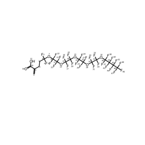 C=C(CCC(F)(F)OC(F)(F)C(F)(F)OC(F)(F)C(F)(F)OC(F)(F)C(F)(F)OC(F)(F)C(F)(F)OC(F)(F)C(F)(F)C(F)(F)C(F)(F)F)C(=O)O